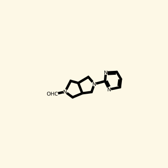 O=CN1CC2CN(c3ncccn3)CC2C1